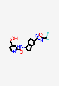 O=C(N[C@@H]1CCc2cc(-c3noc(C(F)F)n3)ccc21)c1cc(CO)ccn1